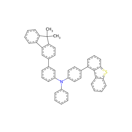 CC1(C)c2ccccc2-c2cc(-c3cccc(N(c4ccccc4)c4ccc(-c5cccc6sc7ccccc7c56)cc4)c3)ccc21